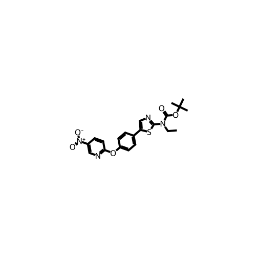 CCN(C(=O)OC(C)(C)C)c1ncc(-c2ccc(Oc3ccc([N+](=O)[O-])cn3)cc2)s1